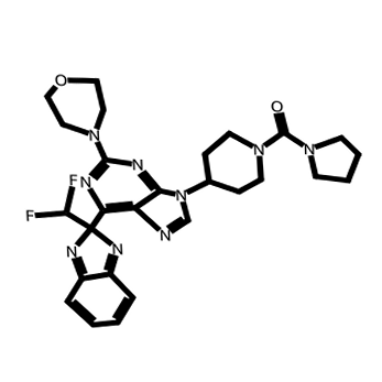 O=C(N1CCCC1)N1CCC(n2cnc3c(C4(C(F)F)N=c5ccccc5=N4)nc(N4CCOCC4)nc32)CC1